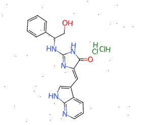 Cl.Cl.O=C1NC(NC(CO)c2ccccc2)=NC1=Cc1c[nH]c2ncccc12